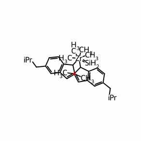 CC1=Cc2cc(CC(C)C)ccc2[CH]1[Zr]([CH3])([CH3])([CH3])([CH3])(=[SiH2])[CH]1C(C)=Cc2cc(CC(C)C)ccc21